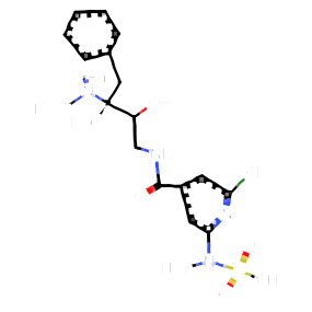 CN(c1cc(C(=O)NCC(O)[C@@](C)(Cc2ccccc2)N(C(=O)O)C(C)(C)C)cc(Cl)n1)S(C)(=O)=O